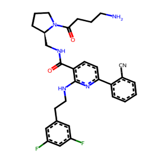 N#Cc1ccccc1-c1ccc(C(=O)NC[C@H]2CCCN2C(=O)CCCN)c(NCCc2cc(F)cc(F)c2)n1